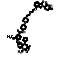 COc1cc(C(=O)NC2CCC(N3CCN(CCOCCOc4cccc5c4CN(C4CCC(=O)NC4=O)C5=O)CC3)CC2)ccc1Nc1ncc2c(n1)N(C1CCCC1)CC(F)(F)C(=O)N2C